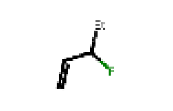 [CH]=CC(F)CC